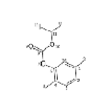 Cc1ccc(C)c(OC(=O)OC(C)I)c1